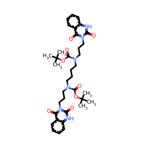 CC(C)(C)OC(=O)N(CCCCN(CCCn1c(=O)[nH]c2ccccc2c1=O)C(=O)OC(C)(C)C)CCCn1c(=O)[nH]c2ccccc2c1=O